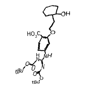 CC(C)(C)OC(=O)/N=C(\NC(=O)OC(C)(C)C)Nc1ccc(C(=O)O)c(OCCC2CCCCCC2O)c1